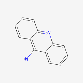 [N]c1c2ccccc2nc2ccccc12